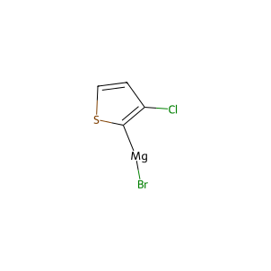 Clc1ccs[c]1[Mg][Br]